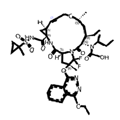 CCOc1nnc(O[C@]2(C)C[C@H]3C(=O)N[C@]4(C(=O)NS(=O)(=O)C5(C)CC5)C[C@H]4/C=C\CC[C@H](C)C[C@@H](CC)[C@H](N(C(=O)O)C(C)CC)C(=O)N3C2(F)F)c2ccccc12